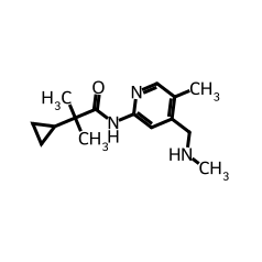 CNCc1cc(NC(=O)C(C)(C)C2CC2)ncc1C